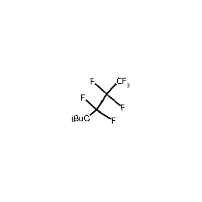 CC(C)COC(F)(F)C(F)(F)C(F)(F)F